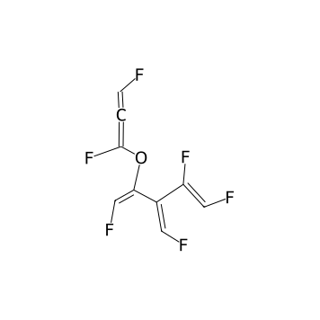 FC=C=C(F)OC(=CF)C(=CF)C(F)=CF